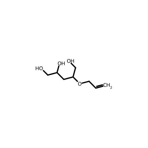 C=CCOC(CO)CC(O)CO